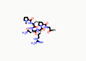 CC(C)C(=O)CNC(=O)[C@@H]1CCCN1C(=O)[C@H](CCCNC(=N)N)NC(=O)[C@H](CC(N)=O)NC(=O)[C@@H](NC(=O)[C@@H]1CCCN1C)C(C)C